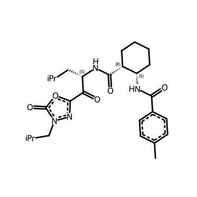 Cc1ccc(C(=O)N[C@H]2CCCC[C@H]2C(=O)N[C@@H](CC(C)C)C(=O)c2nn(CC(C)C)c(=O)o2)cc1